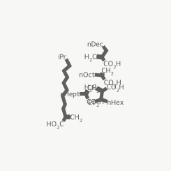 C=C(C(=O)O)C(CC)CCCCCC.C=C(CCCCCCC)C(=O)O.C=C(CCCCCCCC)C(=O)O.C=C(CCCCCCCCC(C)C)C(=O)O.C=C(CCCCCCCCCCC)C(=O)O